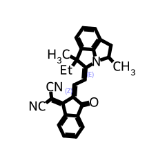 CCC1(C)/C(=C\C=C2/C(=O)c3ccccc3C2=C(C#N)C#N)N2c3c(cccc31)CC2C